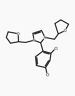 Clc1ccc(C2N(CC3CCCO3)C=CN2CC2CCCO2)c(Cl)c1